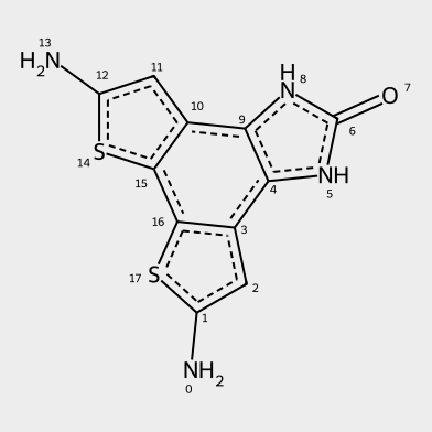 Nc1cc2c3[nH]c(=O)[nH]c3c3cc(N)sc3c2s1